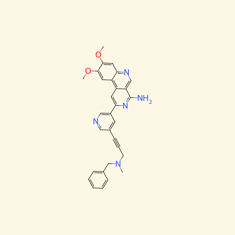 COc1cc2ncc3c(N)nc(-c4cncc(C#CCN(C)Cc5ccccc5)c4)cc3c2cc1OC